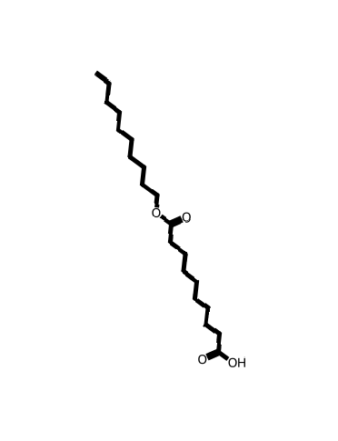 CCCCCCCCCCOC(=O)CCCCCCCCC(=O)O